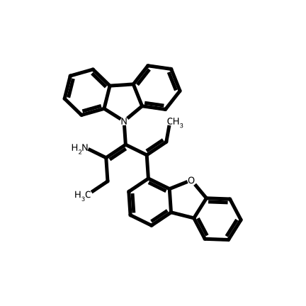 C/C=C(\C(=C(\N)CC)n1c2ccccc2c2ccccc21)c1cccc2c1oc1ccccc12